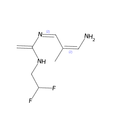 C=C(/N=C\C(C)=C/N)NCC(F)F